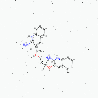 C=Cc1cc(OC(C)(C)CCOC(C)(C)c2cc3ccccc3nc2N)c(N)nc1/C=C\C